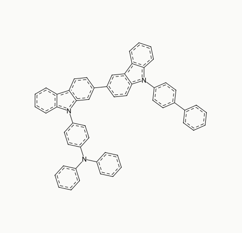 c1ccc(-c2ccc(-n3c4ccccc4c4cc(-c5ccc6c7ccccc7n(-c7ccc(N(c8ccccc8)c8ccccc8)cc7)c6c5)ccc43)cc2)cc1